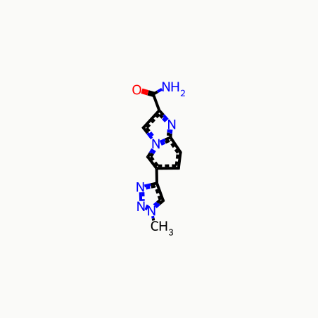 Cn1cc(-c2ccc3nc(C(N)=O)cn3c2)nn1